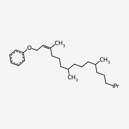 CC(=CCOc1ccccc1)CCCC(C)CCCC(C)CCCC(C)C